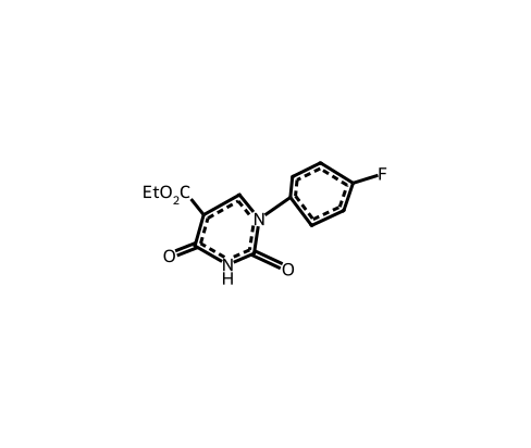 CCOC(=O)c1cn(-c2ccc(F)cc2)c(=O)[nH]c1=O